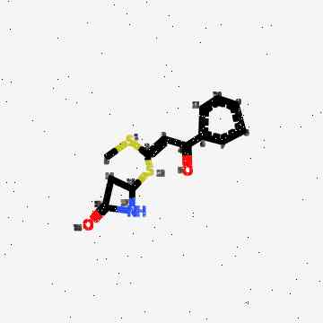 CSC(=CC(=O)c1ccccc1)SC1CC(=O)N1